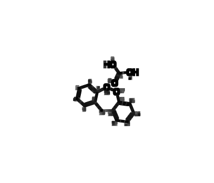 O=C(O)O.c1ccc2c(c1)Cc1ccccc1OO2